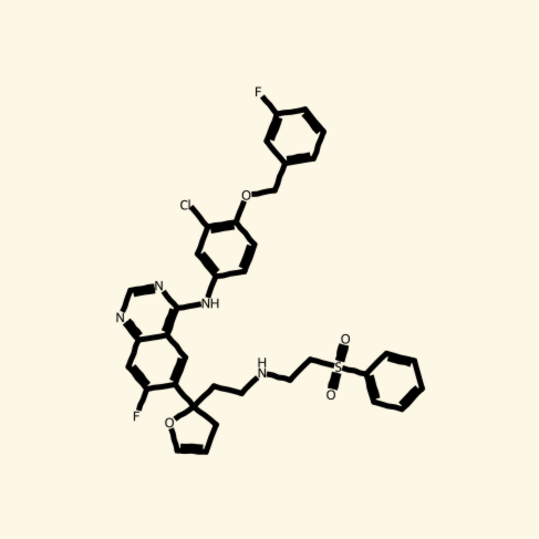 O=S(=O)(CCNCCC1(c2cc3c(Nc4ccc(OCc5cccc(F)c5)c(Cl)c4)ncnc3cc2F)CC=CO1)c1ccccc1